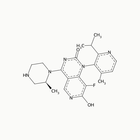 Cc1ccnc(C(C)C)c1-n1c(=O)nc(N2CCNC[C@@H]2C)c2cnc(O)c(F)c21